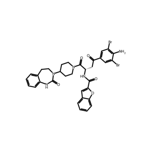 Nc1c(Br)cc(C(=O)C[C@H](NC(=O)c2cc3ccccc3o2)C(=O)N2CCC(N3CCc4ccccc4NC3=O)CC2)cc1Br